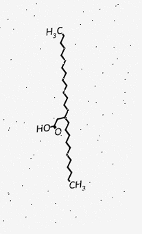 CCCCCCCCCCCCCCC(CCCCCCCCCCC)CC(=O)O